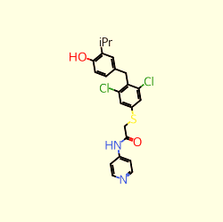 CC(C)c1cc(Cc2c(Cl)cc(SCC(=O)Nc3ccncc3)cc2Cl)ccc1O